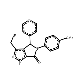 COc1ccc(N2C(=O)c3[nH]nc(CC(C)C)c3C2c2ccncn2)cc1